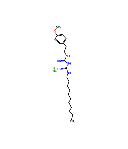 CCCCCCCCCCCNC(=N)NC(=N)NCCc1ccc(OC)cc1.Cl.Cl